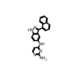 Nc1nccc(Nc2ccc3[nH]nc(-c4cccc5ccccc45)c3c2)n1